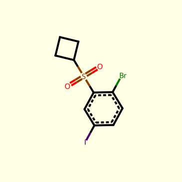 O=S(=O)(c1cc(I)ccc1Br)C1CCC1